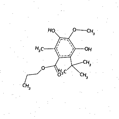 CCCOC(=O)c1c(C)c(O)c(OC)c(O)c1C(C)(C)C